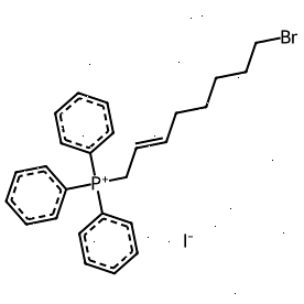 BrCCCCCC=CC[P+](c1ccccc1)(c1ccccc1)c1ccccc1.[I-]